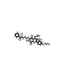 COc1ccc2c3c([nH]c2c1)C(CC(C)C)N1C(=O)C(CCCCNC(=O)c2ccccc2)NC(=O)C1C3